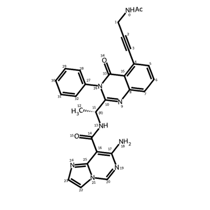 CC(=O)NCC#Cc1cccc2nc([C@@H](C)NC(=O)c3c(N)ncn4ccnc34)n(-c3ccccc3)c(=O)c12